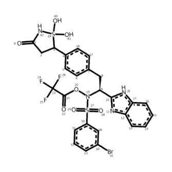 O=C1CC(c2ccc(C[C@@H](c3nc4ccccc4[nH]3)N(OC(=O)C(F)(F)F)S(=O)(=O)c3cccc(Br)c3)cc2)S(O)(O)N1